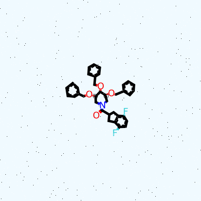 O=C(C1Cc2c(F)ccc(F)c2C1)N1C[C@H](OCc2ccccc2)C(OCc2ccccc2)[C@H](OCc2ccccc2)C1